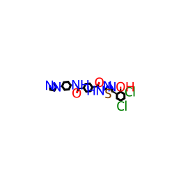 O=C(Nc1ccc(-n2ccnc2)cc1)c1ccc(C(=O)Nc2nnc(-c3cc(Cl)cc(Cl)c3O)s2)cc1